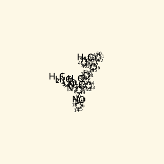 C=C/C=C\c1nc(-c2cc(-c3nc4ccccc4o3)cc(-c3cccc4c3C(C)(C)c3ccc(-c5ccc6c(c5)C(C)(c5ccccc5)c5ccccc5-6)cc3-4)c2)oc1C